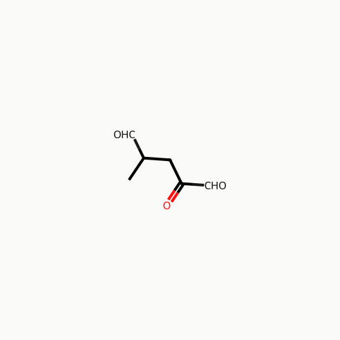 CC(C=O)CC(=O)C=O